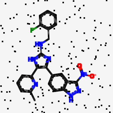 Cc1cccc(-c2[nH]c(NCc3ccccc3F)nc2-c2ccc3[nH]nc([N+](=O)[O-])c3c2)n1